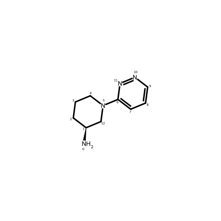 N[C@H]1CCCN(c2cccnn2)C1